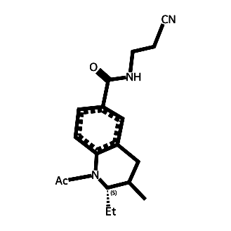 CC[C@H]1C(C)Cc2cc(C(=O)NCCC#N)ccc2N1C(C)=O